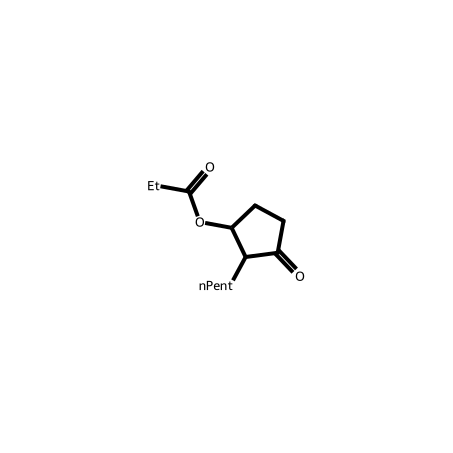 CCCCCC1C(=O)CCC1OC(=O)CC